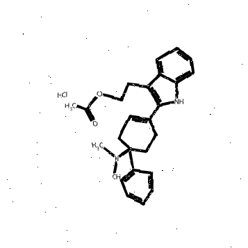 CC(=O)OCCc1c(C2=CCC(c3ccccc3)(N(C)C)CC2)[nH]c2ccccc12.Cl